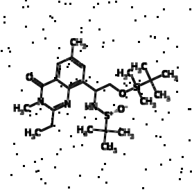 CCc1nc2c(C(CO[Si](C)(C)C(C)(C)C)N[S@+]([O-])C(C)(C)C)cc(C)cc2c(=O)n1C